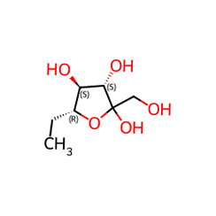 CC[C@H]1OC(O)(CO)[C@@H](O)[C@@H]1O